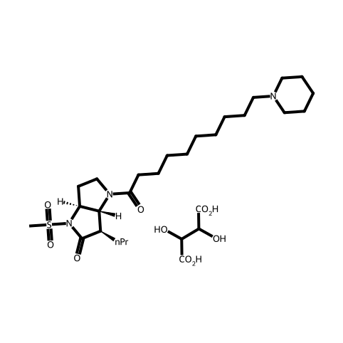 CCC[C@H]1C(=O)N(S(C)(=O)=O)[C@H]2CCN(C(=O)CCCCCCCCCN3CCCCC3)[C@H]12.O=C(O)C(O)C(O)C(=O)O